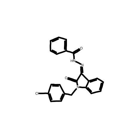 O=C(NN=C1C(=O)N(Cc2ccc(Cl)cc2)c2ccccc21)c1ccccc1